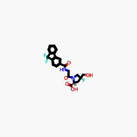 O=C(NCC(=O)N1C[C@@](F)(CO)C[C@H]1C(=O)O)c1ccc2c(c1)-c1ccccc1C2(F)F